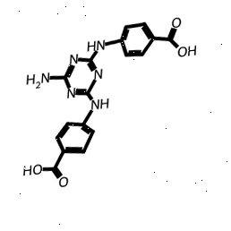 Nc1nc(Nc2ccc(C(=O)O)cc2)nc(Nc2ccc(C(=O)O)cc2)n1